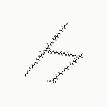 CCCCCCCCCCCCCCCC(=O)OCC(COC(=O)CCCCCCCCCCCCCCC)OC(=O)CCCCCCCCCCCCCCC.CCCCCCCCCCCCCCCCCCCCCC(=O)O